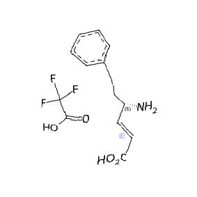 N[C@H](/C=C/C(=O)O)CCc1ccccc1.O=C(O)C(F)(F)F